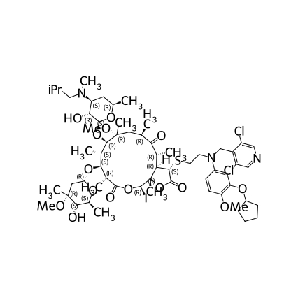 COc1ccc(N(CCS[C@@H]2C(=O)O[C@@]3(C)[C@H]2[C@@H](C)C(=O)[C@H](C)C[C@@](C)(OC)[C@H](O[C@@H]2O[C@H](C)C[C@H](N(C)CC(C)C)[C@H]2O)[C@@H](C)[C@H](O[C@H]2C[C@@](C)(OC)[C@@H](O)[C@H](C)O2)[C@@H](C)C(=O)O[C@@H]3I)Cc2c(Cl)cncc2Cl)cc1OC1CCCC1